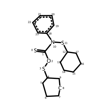 S=C(OSC1CCCCC1)N(SC1CCCCC1)c1ccccc1